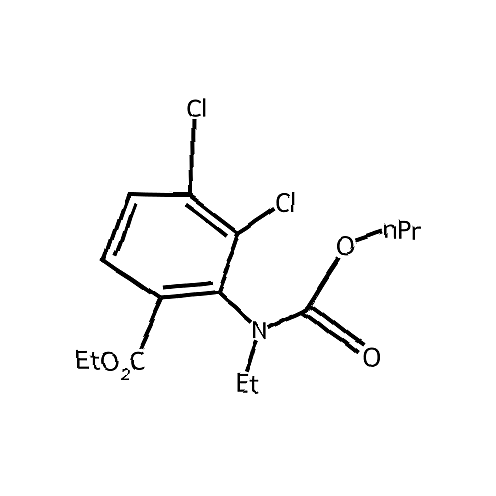 CCCOC(=O)N(CC)c1c(C(=O)OCC)ccc(Cl)c1Cl